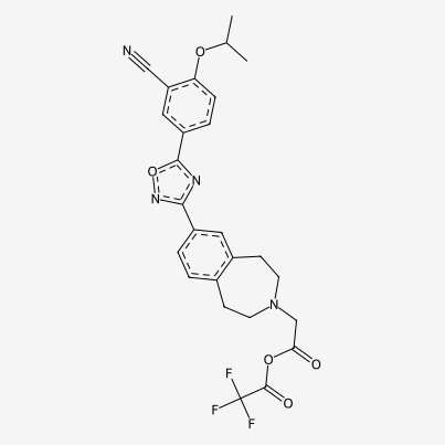 CC(C)Oc1ccc(-c2nc(-c3ccc4c(c3)CCN(CC(=O)OC(=O)C(F)(F)F)CC4)no2)cc1C#N